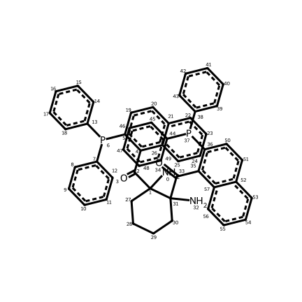 NC1(C(=O)c2c(P(c3ccccc3)c3ccccc3)ccc3ccccc23)CCCCC1(N)C(=O)c1c(P(c2ccccc2)c2ccccc2)ccc2ccccc12